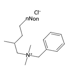 CCCCCCCCCCCC(C)C[N+](C)(C)Cc1ccccc1.[Cl-]